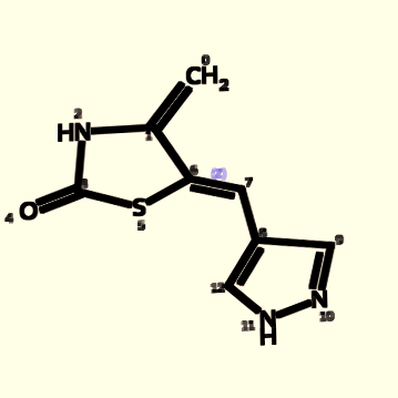 C=c1[nH]c(=O)s/c1=C\c1cn[nH]c1